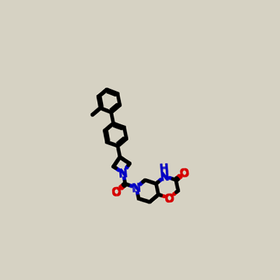 Cc1ccccc1-c1ccc(C2CN(C(=O)N3CCC4OCC(=O)NC4C3)C2)cc1